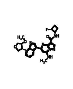 CNc1cc(-c2cnc3n([C@@H]4COC[C@H]4OC)cccc2-3)nc2c(C(=O)N[C@H]3CC[C@@H]3F)cnn12